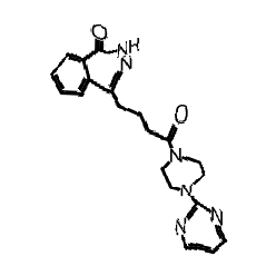 O=C(CCCc1n[nH]c(=O)c2ccccc12)N1CCN(c2ncccn2)CC1